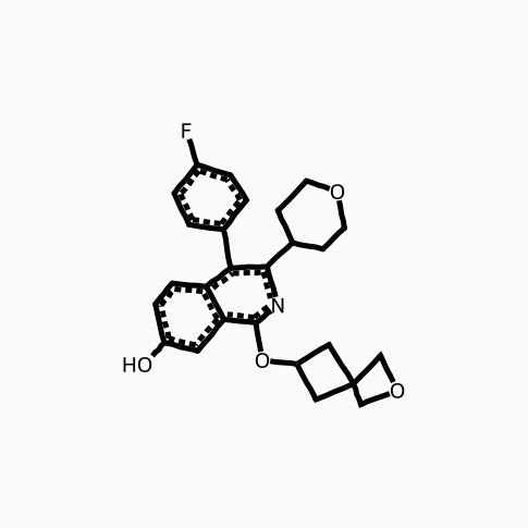 Oc1ccc2c(-c3ccc(F)cc3)c(C3CCOCC3)nc(OC3CC4(COC4)C3)c2c1